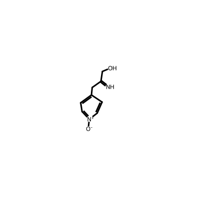 N=C(CO)Cc1cc[n+]([O-])cc1